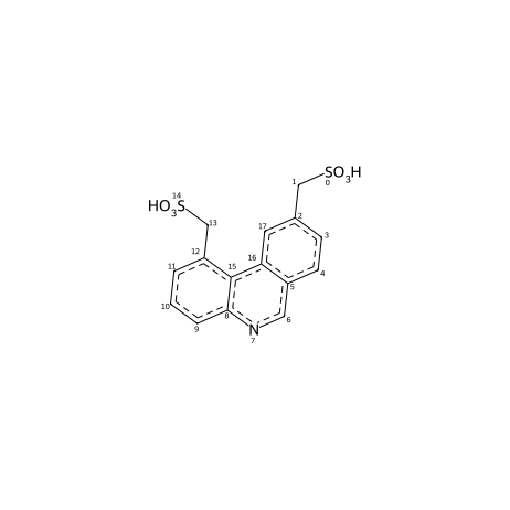 O=S(=O)(O)Cc1ccc2cnc3cccc(CS(=O)(=O)O)c3c2c1